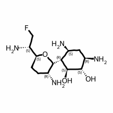 N[C@@H]1CC[C@@H]([C@H](N)CF)OC1[C@H]1[C@H](O)[C@@H](O)[C@H](N)C[C@@H]1N